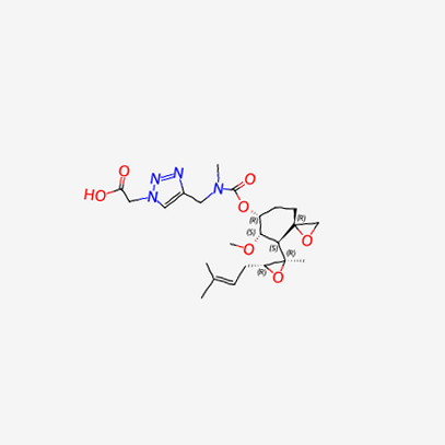 CO[C@@H]1[C@H](OC(=O)N(C)Cc2cn(CC(=O)O)nn2)CC[C@]2(CO2)[C@H]1[C@@]1(C)O[C@@H]1CC=C(C)C